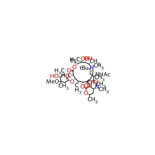 CC[C@H]1OC(=O)[C@H](C)[C@@H](O[C@H]2C[C@@](C)(OC)[C@@H](O)[C@H](C)O2)[C@H](C)[C@@H](OC2OC(C)CC(N(C)C)C2OC(=O)[C@H](CSC(C)(C)C)NC(C)=O)[C@](C)(O)C[C@@H](C)CN(C)[C@H](C)[C@@H](O)[C@]1(C)O